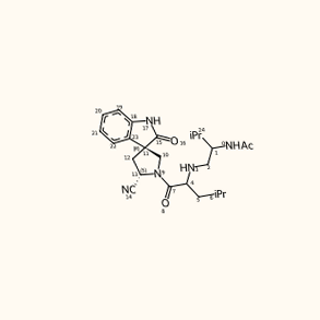 CC(=O)NC(CNC(CC(C)C)C(=O)N1C[C@]2(C[C@H]1C#N)C(=O)Nc1ccccc12)C(C)C